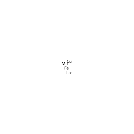 [Cu].[Fe].[La].[Mn]